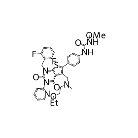 CCOCCN(C)Cc1c(-c2ccc(NC(=O)NOC)cc2)sc2c1c(=O)n(-c1ccccn1)c(=O)n2Cc1c(F)cccc1F